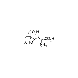 N[C@@H](CSC(CC=O)C(=O)O)C(=O)O